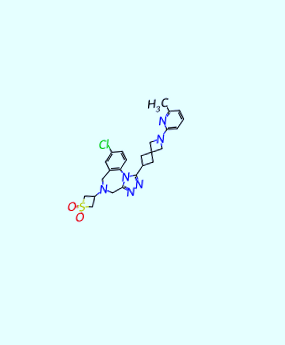 Cc1cccc(N2CC3(CC(c4nnc5n4-c4ccc(Cl)cc4CN(C4CS(=O)(=O)C4)C5)C3)C2)n1